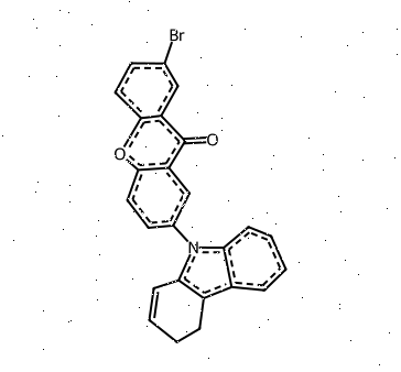 O=c1c2cc(Br)ccc2oc2ccc(-n3c4c(c5ccccc53)CCC=C4)cc12